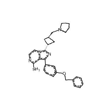 Nc1nccn2c1c(-c1cccc(OCc3ccccc3)c1)nc2[C@H]1C[C@H](CN2CCCC2)C1